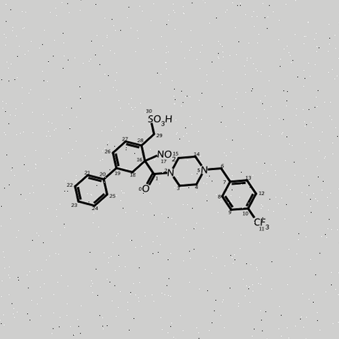 O=C(N1CCN(Cc2ccc(C(F)(F)F)cc2)CC1)C1([N+](=O)[O-])CC(c2ccccc2)=CC=C1CS(=O)(=O)O